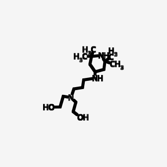 CC1(C)CC(NCCCN(CCO)CCO)CC(C)(C)N1